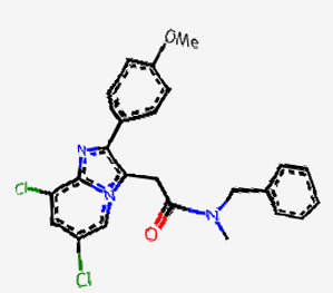 COc1ccc(-c2nc3c(Cl)cc(Cl)cn3c2CC(=O)N(C)Cc2ccccc2)cc1